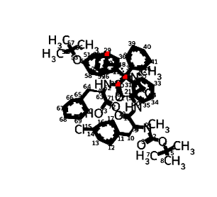 CN(C(=O)OC(C)(C)C)[C@@H](Cc1ccc(Cl)cc1)C(=O)N[C@H](CSC(c1ccccc1)(c1ccccc1)c1ccccc1)C(=O)N(C)[C@@H](Cc1ccc(OC(C)(C)C)cc1)C(=O)N[C@H](Cc1ccccc1)C(=O)O